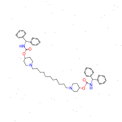 O=C(NC(c1ccccc1)c1ccccc1)OC1CCN(CCCCCCCCCCCN2CCC(OC(=O)NC(c3ccccc3)c3ccccc3)CC2)CC1